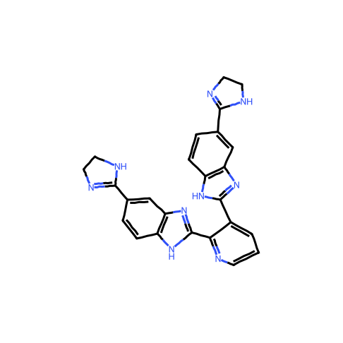 c1cnc(-c2nc3cc(C4=NCCN4)ccc3[nH]2)c(-c2nc3cc(C4=NCCN4)ccc3[nH]2)c1